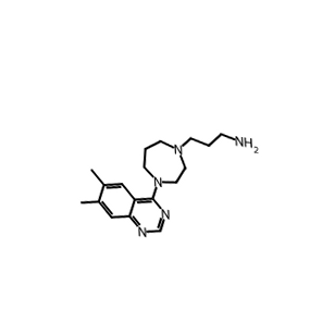 Cc1cc2ncnc(N3CCCN(CCCN)CC3)c2cc1C